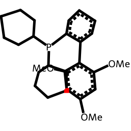 COc1cc(OC)c(-c2ccccc2P(C2CCCCC2)C2CCCCC2)c(OC)c1